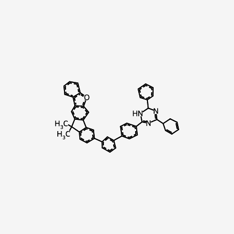 CC1(C)c2ccc(-c3cccc(-c4ccc(C5=NC(C6C=CC=CC6)=NC(c6ccccc6)N5)cc4)c3)cc2-c2cc3oc4ccccc4c3cc21